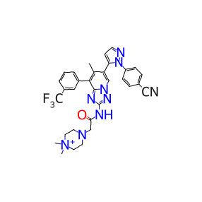 Cc1c(-c2ccnn2-c2ccc(C#N)cc2)cn2nc(NC(=O)CN3CC[N+](C)(C)CC3)nc2c1-c1cccc(C(F)(F)F)c1